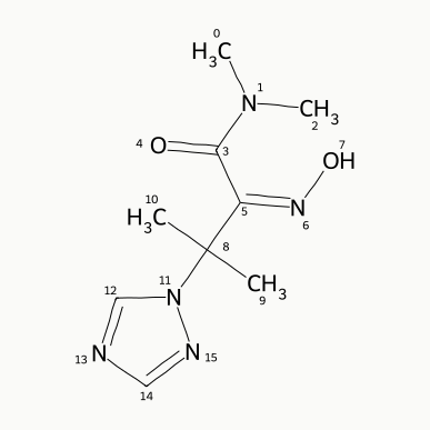 CN(C)C(=O)C(=NO)C(C)(C)n1cncn1